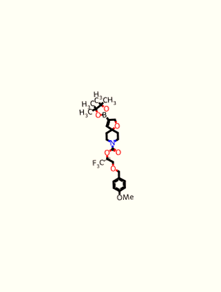 COc1ccc(COC[C@@H](OC(=O)N2CCC3(C=C(B4OC(C)(C)C(C)(C)O4)CO3)CC2)C(F)(F)F)cc1